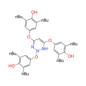 CCCCc1cc(OC2=CC(Oc3cc(CCCC)c(O)c(CCCC)c3)=NN(Oc3cc(CCCC)c(O)c(CCCC)c3)N2)cc(CCCC)c1O